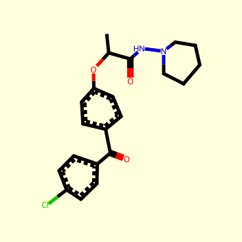 CC(Oc1ccc(C(=O)c2ccc(Cl)cc2)cc1)C(=O)NN1CCCCC1